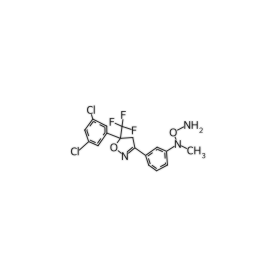 CN(ON)c1cccc(C2=NOC(c3cc(Cl)cc(Cl)c3)(C(F)(F)F)C2)c1